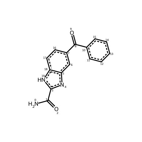 NC(=O)c1nc2cc(C(=O)c3ccccc3)ccc2[nH]1